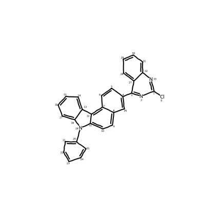 Clc1nc(-c2ccc3c(ccc4c3c3ccccc3n4-c3ccccc3)c2)c2ccccc2n1